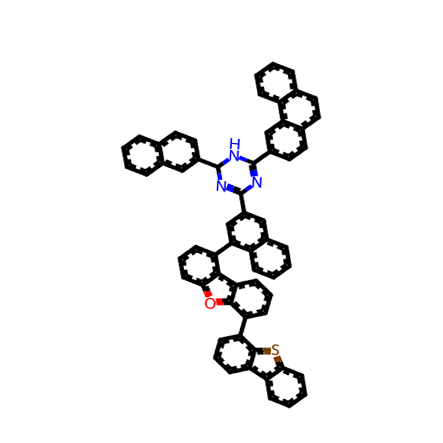 c1ccc2cc(C3N=C(c4cc(-c5cccc6oc7c(-c8cccc9c8sc8ccccc89)cccc7c56)c5ccccc5c4)N=C(c4ccc5ccc6ccccc6c5c4)N3)ccc2c1